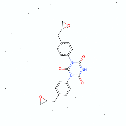 O=c1[nH]c(=O)n(-c2ccc(CC3CO3)cc2)c(=O)n1-c1ccc(CC2CO2)cc1